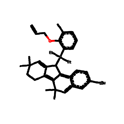 C=CCOc1c(C)cccc1[Si](CC)(CC)C1C2=CC(C)(C)CCC2=C2C1=c1ccc(C(C)(C)C)cc1=CC2(C)C